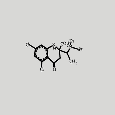 CC(C)N(C(C)C)C(C)C1(C(=O)O)CC(=O)c2c(Cl)cc(Cl)cc2N1